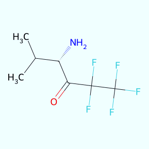 CC(C)[C@H](N)C(=O)C(F)(F)C(F)(F)F